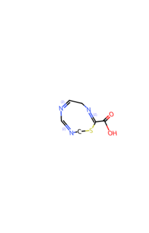 O=C(O)/C1=N/C/C=N\C=N/CS1